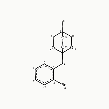 CC12COC(Cc3ccccc3Br)(OC1)OC2